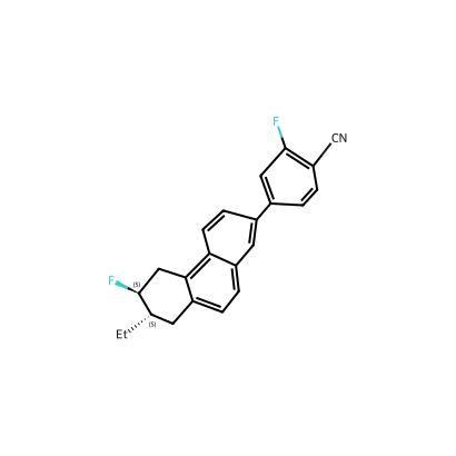 CC[C@H]1Cc2ccc3cc(-c4ccc(C#N)c(F)c4)ccc3c2C[C@@H]1F